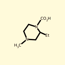 CCC1CN(C)CCN1C(=O)O